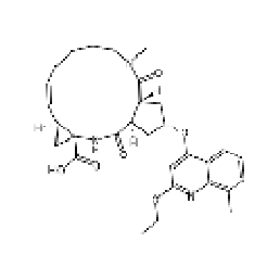 CCOc1cc(O[C@@H]2C[C@H]3C(=O)N[C@]4(C(=O)O)C[C@H]4/C=C\CCCCN(C)C(=O)[C@@H]3C2)c2cccc(C)c2n1